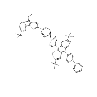 CCn1c2ccc(-c3ccc(-c4ccc(-c5c6ccc(C(C)(C)C)cc6c(-c6ccc(-c7ccccc7)cc6)c6ccc(C(C)(C)C)cc56)cc4)cc3)cc2c2cc(C(C)(C)C)ccc21